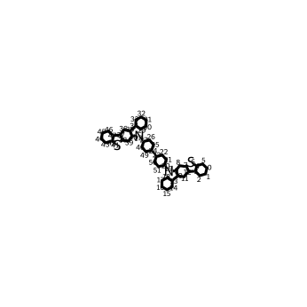 c1ccc2c(c1)sc1cc3c(cc12)c1ccccc1n3-c1ccc(-c2ccc(-n3c4ccccc4c4cc5c(cc43)sc3ccccc35)cc2)cc1